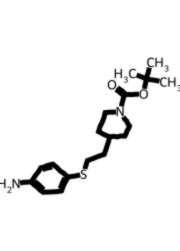 CC(C)(C)OC(=O)N1CCC(CCSc2ccc(N)cc2)CC1